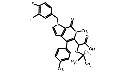 Cc1ccc(-c2c(C(OC(C)(C)C)C(=O)O)n(C)c(=O)c3c2ccn3Cc2ccc(F)c(F)c2)cc1